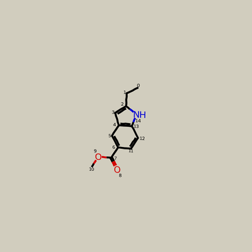 CCc1cc2cc(C(=O)OC)ccc2[nH]1